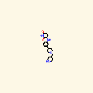 O=C1CCC(Nc2cccc(C3CCN(CC4CCNCC4)CC3)c2)C(=O)N1